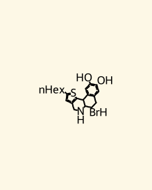 Br.CCCCCCc1cc2c(s1)C1c3cc(O)c(O)cc3CCC1NC2